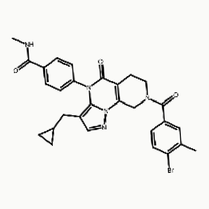 CNC(=O)c1ccc(-n2c(=O)c3c(n4ncc(CC5CC5)c24)CN(C(=O)c2ccc(Br)c(C)c2)CC3)cc1